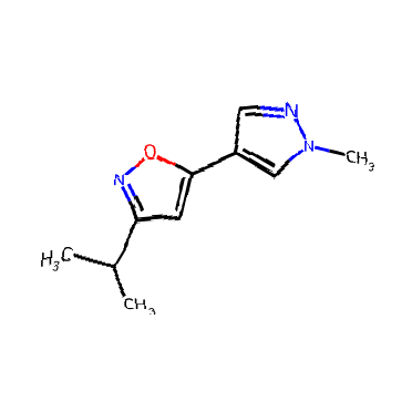 CC(C)c1cc(-c2cnn(C)c2)on1